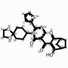 O=C(C1=C(O)C2CCC(C2)C1=O)c1cnc(-c2cccs2)n(C2CCC3(CC2)OCCO3)c1=O